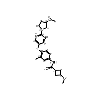 COC1CC(C(=O)Nc2ccc(Oc3cnc(N4CCC(OC)C4)nc3)c(C)c2)C1